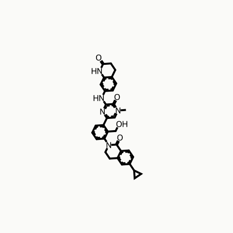 Cn1cc(-c2cccc(N3CCc4cc(C5CC5)ccc4C3=O)c2CO)nc(Nc2ccc3c(c2)NC(=O)CC3)c1=O